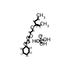 CC=C(CCC)OCCOOOOC1CCCCC1.O=P(O)(O)O